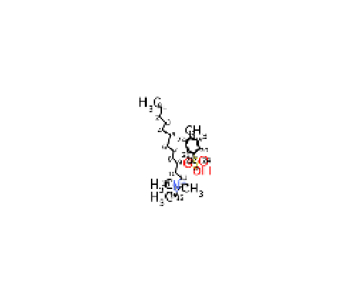 CCCCCCCCCCCC[N+](C)(C)CC.Cc1ccc(S(=O)(=O)O)cc1